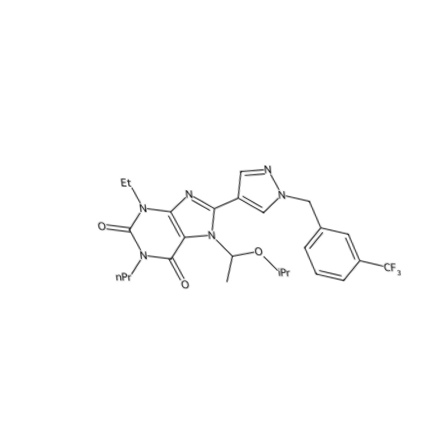 CCCn1c(=O)c2c(nc(-c3cnn(Cc4cccc(C(F)(F)F)c4)c3)n2C(C)OC(C)C)n(CC)c1=O